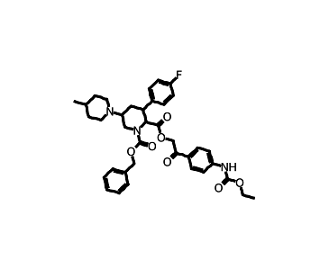 CCOC(=O)Nc1ccc(C(=O)COC(=O)C2C(c3ccc(F)cc3)CC(N3CCC(C)CC3)CN2C(=O)OCc2ccccc2)cc1